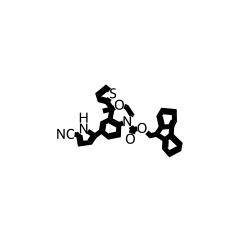 CC1(c2cccs2)OCCN(C(=O)OCC2c3ccccc3-c3ccccc32)c2ccc(-c3ccc(C#N)[nH]3)cc21